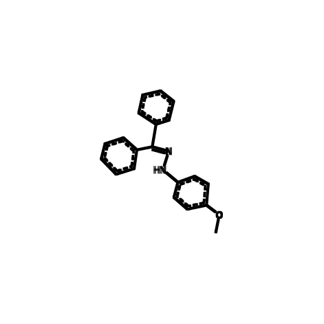 COc1ccc(NN=C(c2ccccc2)c2ccccc2)cc1